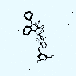 C[C@H](NC(=O)Cc1cc(F)cc(F)c1)C(=O)NC1C(=O)N(C)C(c2ccccc2)c2ccccc21